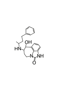 CC(CCc1ccccc1)NC1CCn2c(=O)[nH]c3cccc(c32)C1O